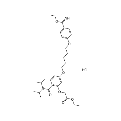 CCOC(=N)c1ccc(OCCCCCOc2ccc(C(=O)N(C(C)C)C(C)C)c(OCC(=O)OCC)c2)cc1.Cl